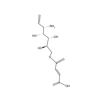 N[C@@H](C=O)[C@@H](O)[C@H](O)[C@H](O)COC(=O)C=CC(=O)O